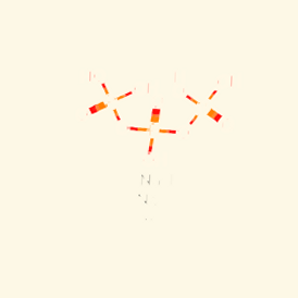 O=P(O)(O)OP(=O)(O)OP(=O)(O)O.[Fe].[NaH].[NaH]